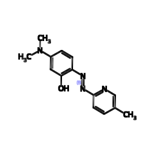 Cc1ccc(/N=N/c2ccc(N(C)C)cc2O)nc1